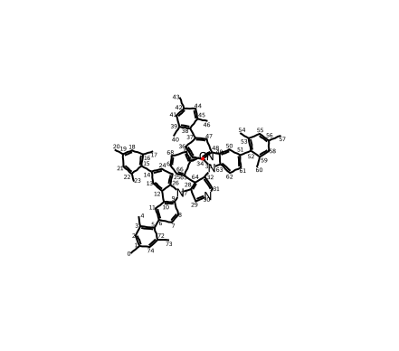 Cc1cc(C)c(-c2ccc3c(c2)c2cc(-c4c(C)cc(C)cc4C)ccc2n3-c2cncc(-n3c4ccc(-c5c(C)cc(C)cc5C)cc4c4cc(-c5c(C)cc(C)cc5C)ccc43)c2-c2ccccc2C#N)c(C)c1